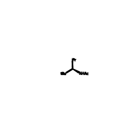 CC(=O)N[C@H](C(C)C)C(C)(C)C